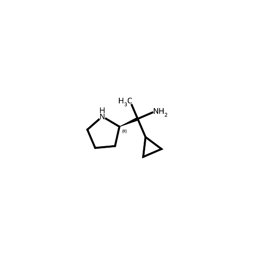 CC(N)(C1CC1)[C@H]1CCCN1